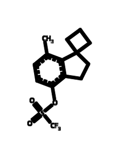 Cc1ccc(OS(=O)(=O)C(F)(F)F)c2c1C1(CCC1)CC2